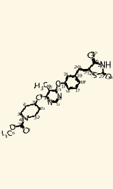 COC(=O)N1CCC(Oc2ncnc(Oc3cccc(/C=C4\SC(=O)NC4=O)c3)c2C)CC1